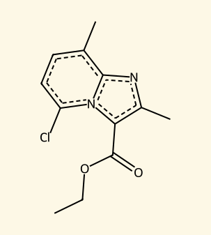 CCOC(=O)c1c(C)nc2c(C)ccc(Cl)n12